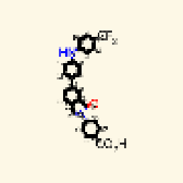 O=C1c2cc(-c3ccc(Nc4ccc(C(F)(F)F)cc4)cc3)ccc2CN1[C@H]1CC[C@H](C(=O)O)CC1